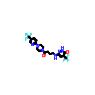 O=C(CCCNc1cc(C(F)(F)F)c(=O)[nH]n1)N1CCN(c2ccc(C(F)(F)F)cn2)CC1